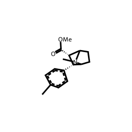 COC(=O)[C@@H]1C2CCC([C@@H]1c1ccc(C)cc1)N2C